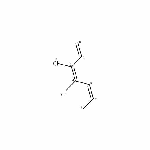 C=C/C(Cl)=C(I)\C=C/C